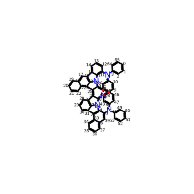 c1ccc(N(c2ccccc2)c2cccc3c4cc5ccccc5c5c6c7c8cccc9c%10c%11ccccc%11cc(N(c%11ccccc%11)c%11ccccc%11)c%10n(c7ncc6n(c23)c45)c89)cc1